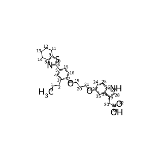 CCCc1cc(-c2nc3c(s2)CCCC3)ccc1OCCCOc1ccc2[nH]cc(CC(=O)O)c2c1